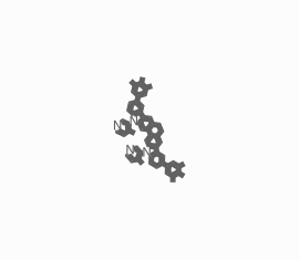 Cc1ccncc1-n1c2c(c3cc4c(cc31)-c1cc3c(cc1CC4)c1cc(-c4cc(C)c(C)c(C)c4)ccc1n3-c1cnccc1C)C=C(c1cc(C)c(C)c(C)c1)CC2